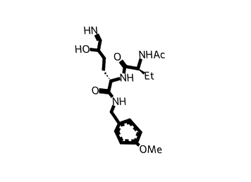 CC[C@H](NC(C)=O)C(=O)N[C@@H](CCC(O)C=N)C(=O)NCc1ccc(OC)cc1